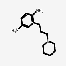 Nc1ccc(N)c(CCCN2CCCCC2)c1